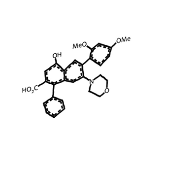 COc1ccc(-c2cc3c(O)cc(C(=O)O)c(-c4ccccc4)c3cc2N2CCOCC2)c(OC)c1